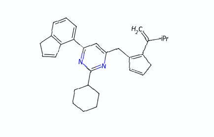 C=C(C1=C(Cc2cc(-c3cccc4c3C=CC4)nc(C3CCCCC3)n2)C=CC1)C(C)C